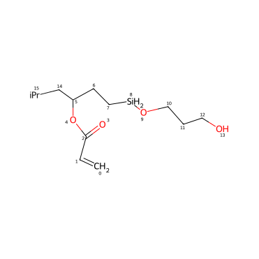 C=CC(=O)OC(CC[SiH2]OCCCO)CC(C)C